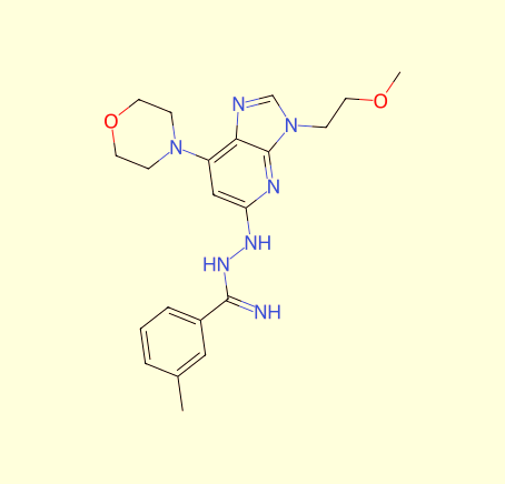 COCCn1cnc2c(N3CCOCC3)cc(NNC(=N)c3cccc(C)c3)nc21